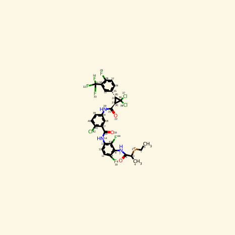 CCSC(C)C(=O)Nc1c(F)ccc(NC(=O)c2cc(NC(=O)[C@H]3[C@H](c4ccc(F)c(C(F)(F)F)c4)C3(Cl)Cl)ccc2Cl)c1F